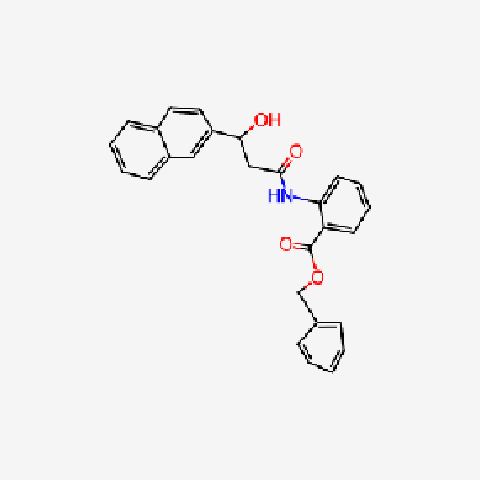 O=C(CC(O)c1ccc2ccccc2c1)Nc1ccccc1C(=O)OCc1ccccc1